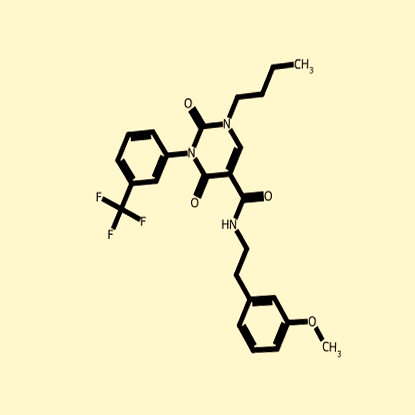 CCCCn1cc(C(=O)NCCc2cccc(OC)c2)c(=O)n(-c2cccc(C(F)(F)F)c2)c1=O